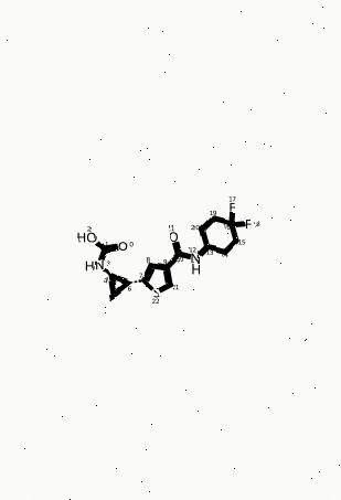 O=C(O)N[C@@H]1C[C@H]1c1cc(C(=O)NC2CCC(F)(F)CC2)cs1